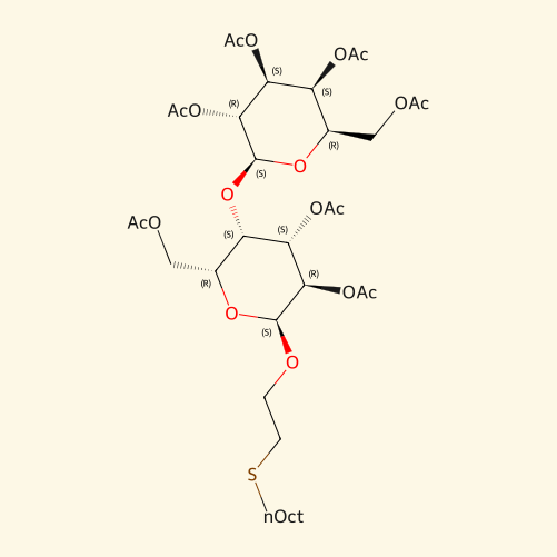 CCCCCCCCSCCO[C@H]1O[C@H](COC(C)=O)[C@H](O[C@@H]2O[C@H](COC(C)=O)[C@H](OC(C)=O)[C@H](OC(C)=O)[C@H]2OC(C)=O)[C@H](OC(C)=O)[C@H]1OC(C)=O